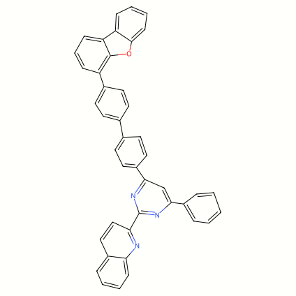 c1ccc(-c2cc(-c3ccc(-c4ccc(-c5cccc6c5oc5ccccc56)cc4)cc3)nc(-c3ccc4ccccc4n3)n2)cc1